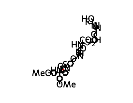 COc1ccc(C(NS(=O)(=O)c2nc3ccc(OCc4cn(CC(=O)NC(CSCc5cccc(OCc6cn(C(CO)CF)nn6)c5)C(=O)O)nn4)cc3s2)(c2ccccc2)c2ccc(OC)cc2)cc1